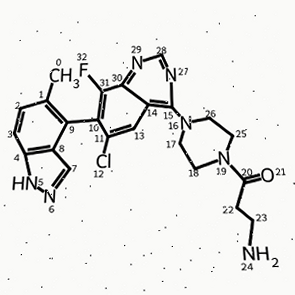 Cc1ccc2[nH]ncc2c1-c1c(Cl)cc2c(N3CCN(C(=O)CCN)CC3)ncnc2c1F